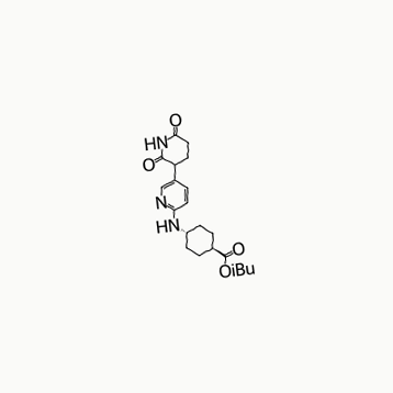 CC(C)COC(=O)[C@H]1CC[C@H](Nc2ccc(C3CCC(=O)NC3=O)cn2)CC1